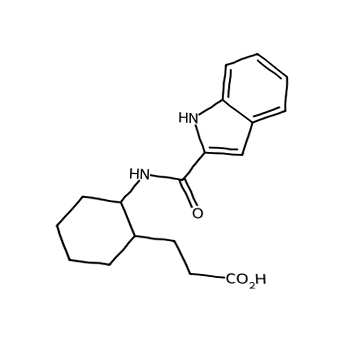 O=C(O)CCC1CCCCC1NC(=O)c1cc2ccccc2[nH]1